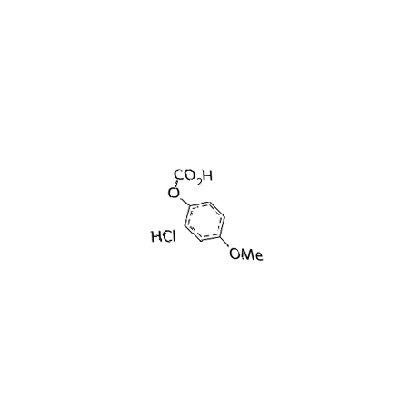 COc1ccc(OC(=O)O)cc1.Cl